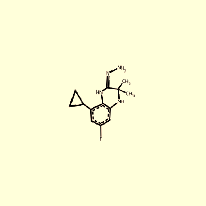 CC1(C)Nc2cc(F)cc(C3CC3)c2N/C1=N/N